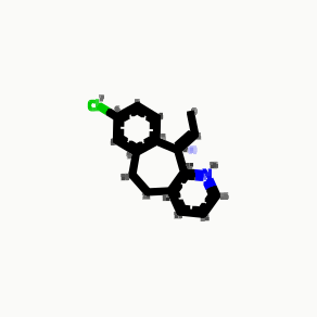 C/C=C1\c2ccc(Cl)cc2CCc2cccnc21